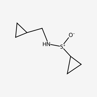 [O-][S+](NCC1CC1)C1CC1